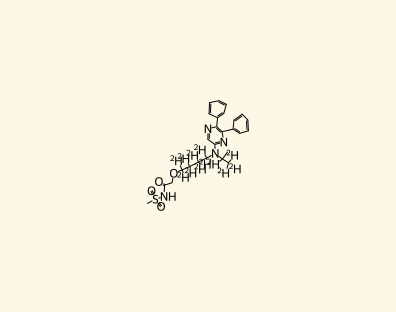 [2H]C([2H])([2H])C([2H])(C)N(c1cnc(-c2ccccc2)c(-c2ccccc2)n1)C([2H])([2H])C([2H])([2H])C([2H])([2H])C([2H])([2H])OCC(=O)NS(C)(=O)=O